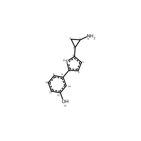 NC1CC1c1ccc(-c2cccc(O)c2)s1